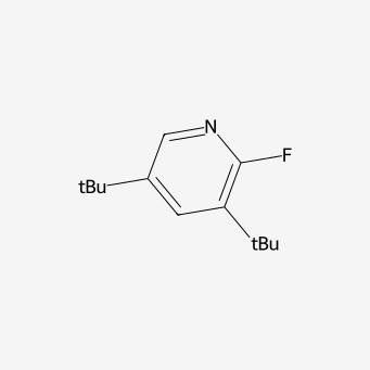 CC(C)(C)c1cnc(F)c(C(C)(C)C)c1